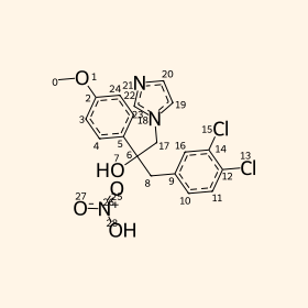 COc1ccc(C(O)(Cc2ccc(Cl)c(Cl)c2)Cn2ccnc2)cc1.O=[N+]([O-])O